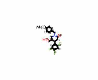 COc1ccc(CN2CC(CO)C(c3cc(F)c(F)cc3F)CC2=O)cc1